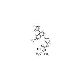 COC(=O)c1ccc(N2CC[C@H](NC(=O)OC(C)(C)C)C2)c2cn(C)nc12